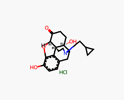 Cl.O=C1CC[C@@]2(O)C3Cc4ccc(O)c5c4[C@]2(CCN3CC2CC2)[C@H]1O5